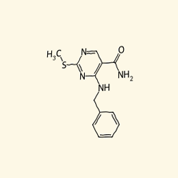 CSc1ncc(C(N)=O)c(NCc2ccccc2)n1